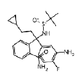 CC(C)(C)[S@@+]([O-])NC(CCC1CC1)(c1ccc(F)c(N)c1)c1ccccc1C(N)=O